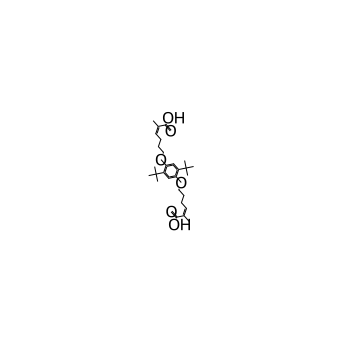 CC(=CCCCOc1cc(C(C)(C)C)c(OCCCC=C(C)C(=O)O)cc1C(C)(C)C)C(=O)O